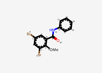 COc1c(Br)cc(Br)cc1C(=O)Nc1ccccc1